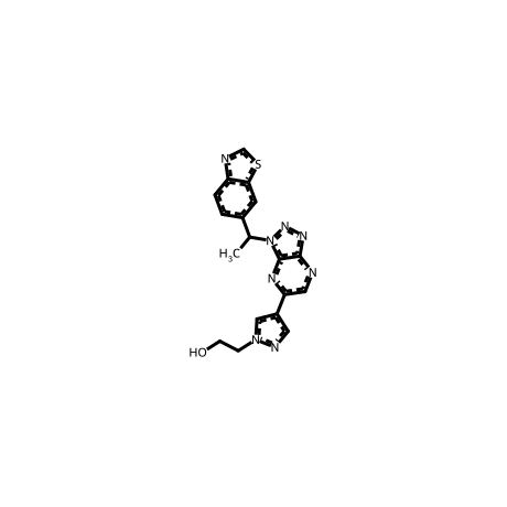 CC(c1ccc2ncsc2c1)n1nnc2ncc(-c3cnn(CCO)c3)nc21